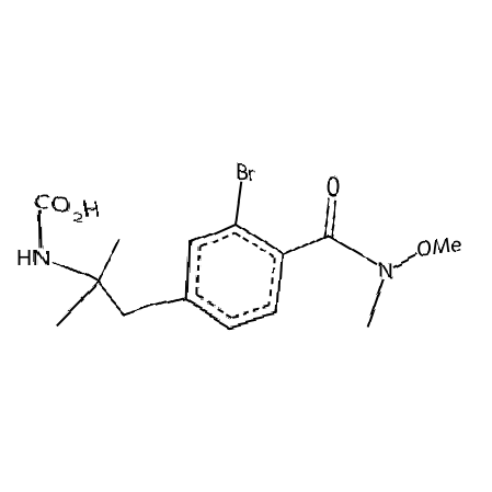 CON(C)C(=O)c1ccc(CC(C)(C)NC(=O)O)cc1Br